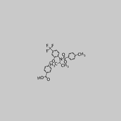 Cc1ccc(S(=O)(=O)N(c2ccc(C(F)(F)F)cc2OCc2ccc(C(=O)O)cc2)C(C)C)cc1